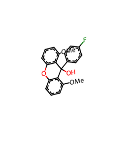 COc1cccc2c1C(O)(c1ccc(F)cc1)c1c(OC)cccc1O2